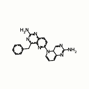 NC1=NC2=CC=CN(c3ccc4nc(N)nc(Cc5ccccc5)c4n3)C2C=N1